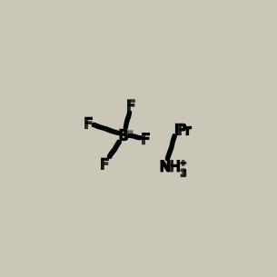 CC(C)[NH3+].F[B-](F)(F)F